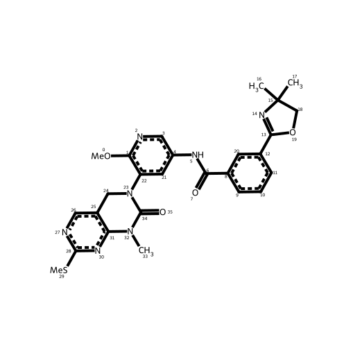 COc1ncc(NC(=O)c2cccc(C3=NC(C)(C)CO3)c2)cc1N1Cc2cnc(SC)nc2N(C)C1=O